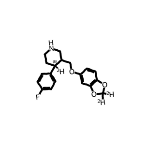 [2H]C1([2H])Oc2ccc(OCC3CNCC[C@@]3([2H])c3ccc(F)cc3)cc2O1